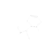 CC(=O)N(N)c1ccccc1O